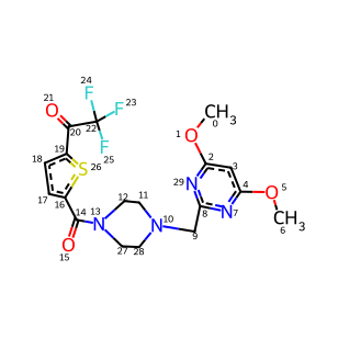 COc1cc(OC)nc(CN2CCN(C(=O)c3ccc(C(=O)C(F)(F)F)s3)CC2)n1